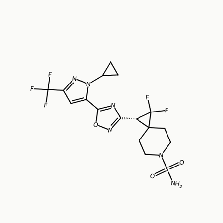 NS(=O)(=O)N1CCC2(CC1)[C@H](c1noc(-c3cc(C(F)(F)F)nn3C3CC3)n1)C2(F)F